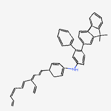 C=C\C=C/C=C/C(C=C)=C/C=C/C1C=CC(Nc2ccc(-c3ccc4c(c3)C(C)(C)c3ccccc3-4)c(-c3ccccc3)c2)=CC1